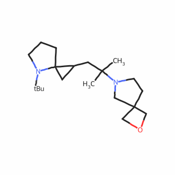 CC(C)(C)N1CCCC12CC2CC(C)(C)N1CCC2(COC2)C1